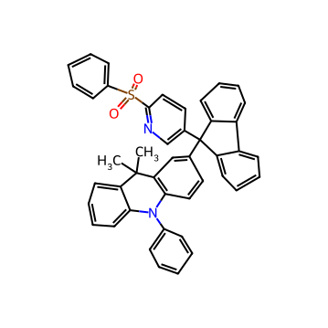 CC1(C)c2ccccc2N(c2ccccc2)c2ccc(C3(c4ccc(S(=O)(=O)c5ccccc5)nc4)c4ccccc4-c4ccccc43)cc21